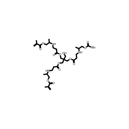 C=C(C)C(=O)OCC(C)NCCC(=O)OCC(CO)(COC(=O)CCNC(C)COC(=O)C(=C)C)COC(=O)CCNC(C)COC(=O)C(C)(C)C